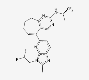 Cc1nc2ccc(C3=CCCCc4nc(N[C@H](C)C(F)(F)F)ncc43)nc2n1CC(F)F